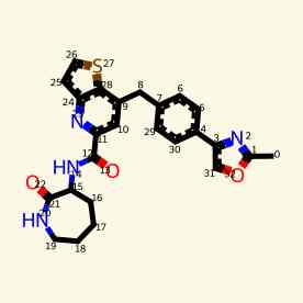 Cc1nc(-c2ccc(Cc3cc(C(=O)NC4CCCCNC4=O)nc4ccsc34)cc2)co1